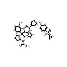 NC(=O)O[C@H]1CCC[C@@H]1C(CN1CCC1)(c1cccc(F)c1)C1CCN(C2CC[C@H](Nc3ccc(S(=O)(=O)C4CC4)cc3)C2)CC1